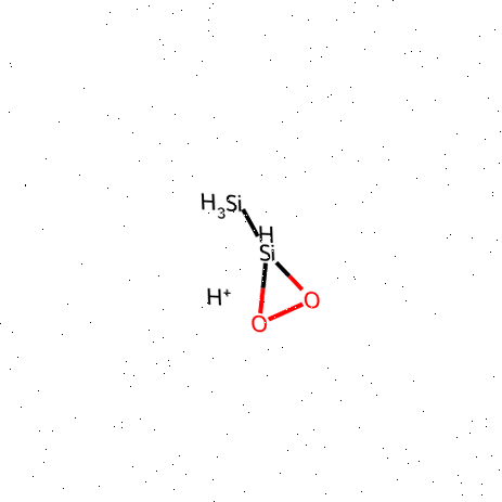 [H+].[SiH3][SiH]1OO1